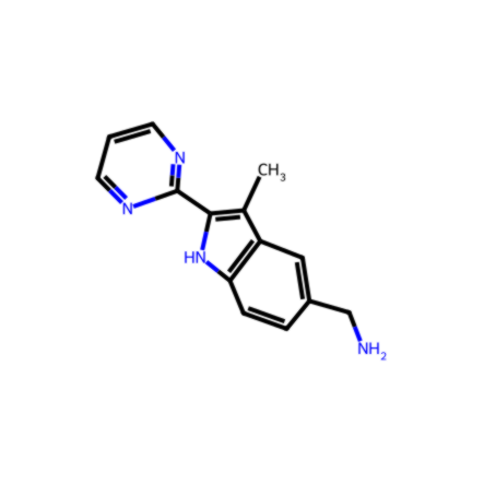 Cc1c(-c2ncccn2)[nH]c2ccc(CN)cc12